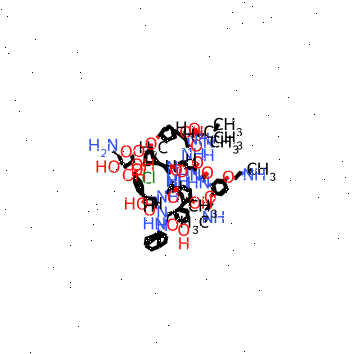 CNCCOc1ccc(OCCNC)c(NC(=O)NC(=O)C[C@@H]2NC(=O)[C@H](NC(=O)[C@@H](CC(C)C)NC)[C@H](O)c3ccc(c(C)c3)Oc3cc4cc(c3O[C@@H]3O[C@H](CN)[C@@H](O)[C@H](O)[C@H]3O)Oc3ccc(cc3Cl)[C@@H](O)[C@@H]3NC(=O)[C@H](NC(=O)[C@@H]4NC2=O)c2ccc(O)c(c2)-c2c(C)cc(O)cc2[C@@H](C(=O)NC2C4CC5CC(C4)CC2C5)NC3=O)c1